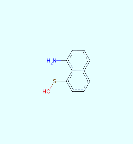 Nc1cccc2cccc(SO)c12